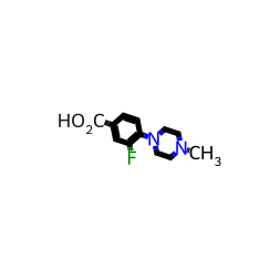 CN1CCN(c2ccc(C(=O)O)cc2F)CC1